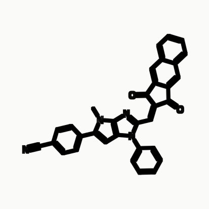 Cn1c(-c2ccc(C#N)cc2)cc2c1nc(C=C1C(=O)c3cc4ccccc4cc3C1=O)n2-c1ccccc1